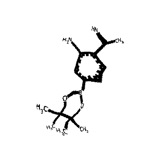 CC(=N)c1ccc(B2OC(C)(C)C(C)(C)O2)cc1N